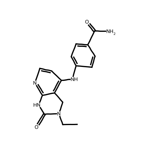 CCN1Cc2c(Nc3ccc(C(N)=O)cc3)ccnc2NC1=O